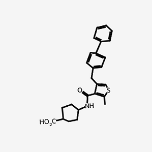 Cc1scc(Cc2ccc(-c3ccccc3)cc2)c1C(=O)NC1CCC(C(=O)O)CC1